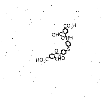 O=Cc1cc(C(=O)O)ccc1C(=O)Nc1ccc(Sc2ccc(NC(=O)c3ccc(C(=O)O)cc3C=O)cc2)cc1